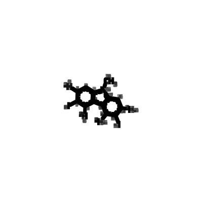 [2H]c1cc2c(c([2H])c1I)c1c([2H])c(I)c([2H])cc1n2C